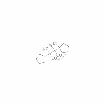 CCC1(C(CC)(C(=O)O)C(C#N)(C(=O)O)C2CCCC2)CCCC1